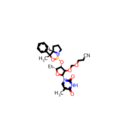 CC[C@H]1O[C@@H](n2cc(C)c(=O)[nH]c2=O)C(OCOCCC#N)[C@H]1O[P@@]1O[C@](C)(c2ccccc2)[C@@H]2CCCN21